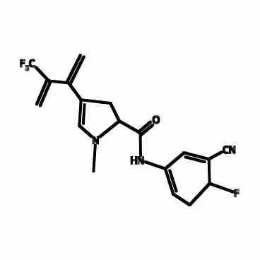 C=C(C(=C)C(F)(F)F)C1=CN(C)C(C(=O)NC2=CCC(F)C(C#N)=C2)C1